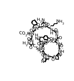 C[C@@H]1NC(=O)[C@@H]2CCCN2C(=O)[C@H](Cc2cnc[nH]2)NC(=O)[C@@H]2CSSC[C@@H](C(N)=O)NC(=O)[C@H](CC(=O)O)NC(=O)[C@H](Cc3ccccc3)NC(=O)[C@H](CC(N)=O)NC(=O)[C@H](CCCCN)NC(=O)CNC(=O)[C@H](CSSC[C@H](NC(=O)[C@@H](N)Cc3ccc(O)cc3)C(=O)N2)NC1=O